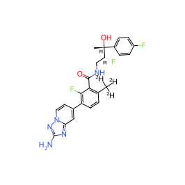 [2H]C([2H])([2H])c1ccc(-c2ccn3nc(N)nc3c2)c(F)c1C(=O)NC[C@@H](F)[C@](C)(O)c1ccc(F)cc1